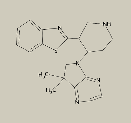 CC1(C)CN(C2CCNCC2c2nc3ccccc3s2)c2nccnc21